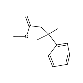 C=C(CC(C)(C)c1ccccc1)OC